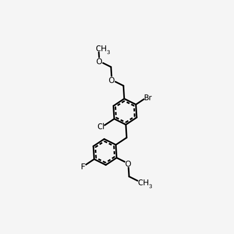 CCOc1cc(F)ccc1Cc1cc(Br)c(COCOC)cc1Cl